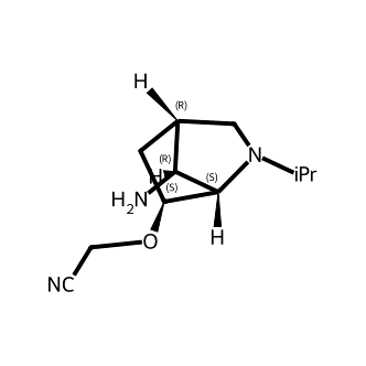 CC(C)N1C[C@H]2C[C@H](OCC#N)[C@@H]1[C@@H]2N